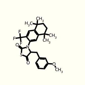 COc1cccc(CC2C(=O)SC(=O)N2c2cc3c(cc2C(F)(F)F)C(C)(C)CCC3(C)C)c1